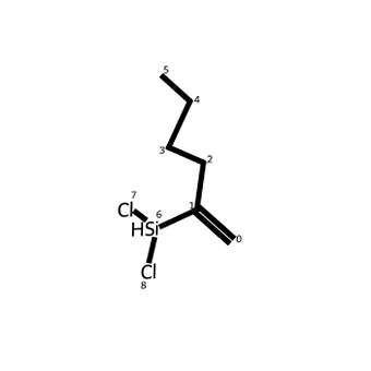 C=C(CCCC)[SiH](Cl)Cl